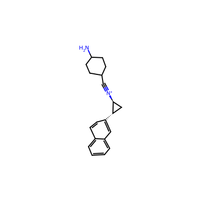 NC1CCC(C#[N+][C@H]2C[C@@H]2c2ccc3ccccc3c2)CC1